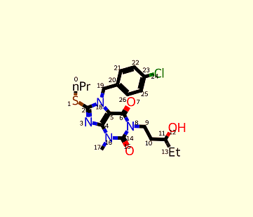 CCCSc1nc2c(c(=O)n(CCC(O)CC)c(=O)n2C)n1Cc1ccc(Cl)cc1